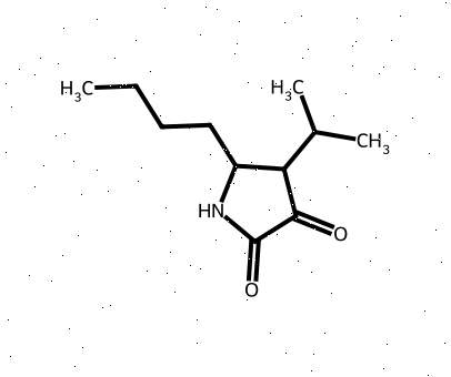 CCCCC1NC(=O)C(=O)C1C(C)C